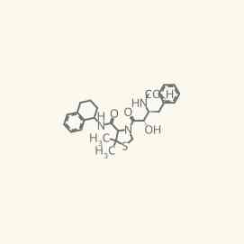 CC1(C)SCN(C(=O)[C@@H](O)[C@H](Cc2ccccc2)NC(=O)O)C1C(=O)NC1CCCc2ccccc21